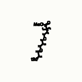 COC(=O)C(C)(C)CCOCCCOCCC(C)(C)C